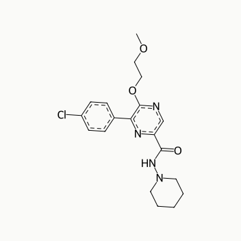 COCCOc1ncc(C(=O)NN2CCCCC2)nc1-c1ccc(Cl)cc1